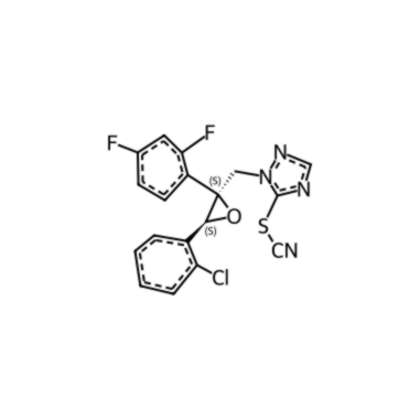 N#CSc1ncnn1C[C@]1(c2ccc(F)cc2F)O[C@H]1c1ccccc1Cl